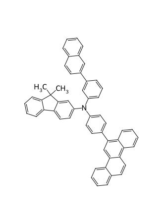 CC1(C)c2ccccc2-c2ccc(N(c3ccc(-c4cc5c6ccccc6ccc5c5ccccc45)cc3)c3cccc(-c4ccc5ccccc5c4)c3)cc21